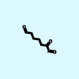 O=CCCCCC(=O)N=O